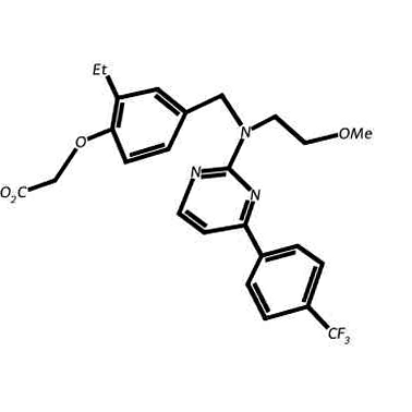 CCc1cc(CN(CCOC)c2nccc(-c3ccc(C(F)(F)F)cc3)n2)ccc1OCC(=O)O